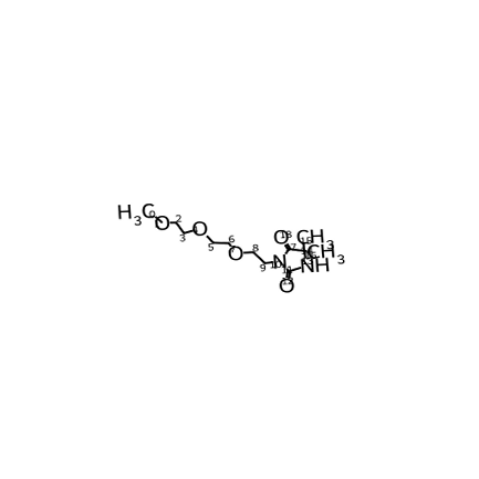 COCCOCCOCCN1C(=O)NC(C)(C)C1=O